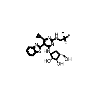 OC[C@H]1C[C@@H](Nc2nc(NCC(F)(F)F)nc(C3CC3)c2-c2nc3ccccc3s2)[C@H](O)[C@@H]1O